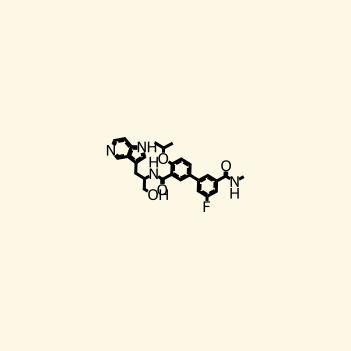 CNC(=O)c1cc(F)cc(-c2ccc(OC(C)C)c(C(=O)NC(CO)Cc3c[nH]c4ccncc34)c2)c1